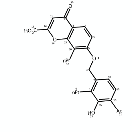 CCCc1c(COc2ccc3c(=O)cc(C(=O)O)oc3c2CCC)ccc(C(C)=O)c1O